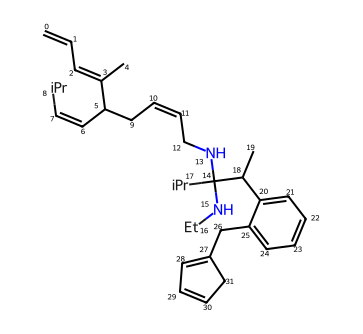 C=C/C=C(\C)C(/C=C\C(C)C)C/C=C\CNC(NCC)(C(C)C)C(C)c1ccccc1CC1=CC=CC1